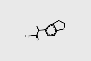 CC(C(N)=O)c1ccc2c(c1)CCO2